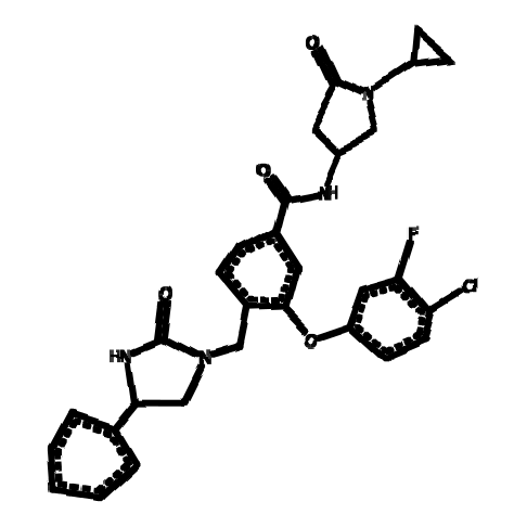 O=C(NC1CC(=O)N(C2CC2)C1)c1ccc(CN2CC(c3ccccc3)NC2=O)c(Oc2ccc(Cl)c(F)c2)c1